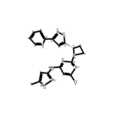 Cc1cc(Nc2cc(Cl)nc(N3CC[C@H]3c3cc(-c4ccccn4)no3)n2)n[nH]1